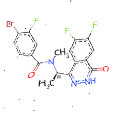 C[C@H](c1n[nH]c(=O)c2cc(F)c(F)cc12)N(C)C(=O)c1ccc(Br)c(F)c1